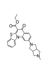 CCOC(=O)c1c(=O)c2ccc(N3CC4CN(C)CC4C3)cc2n2c1sc1ccccc12